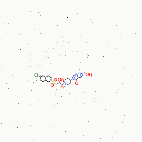 O=C([C@H](O)CS(=O)(=O)c1ccc2cc(Cl)ccc2c1)N1CCC(N2CN3CN(CO)C=C3C2=O)CC1